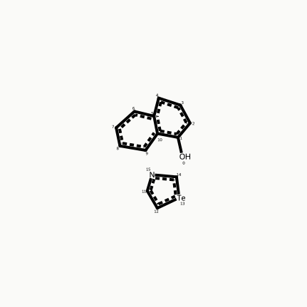 Oc1cccc2ccccc12.c1c[te]cn1